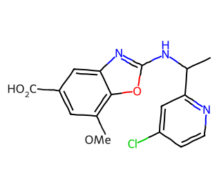 COc1cc(C(=O)O)cc2nc(NC(C)c3cc(Cl)ccn3)oc12